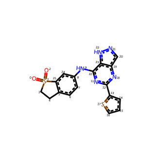 O=S1(=O)CCc2ccc(Nc3nc(-c4cccs4)nc4cn[nH]c34)cc21